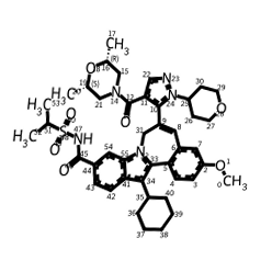 COc1ccc2c(c1)C=C(c1c(C(=O)N3C[C@@H](C)O[C@@H](C)C3)cnn1C1CCOCC1)Cn1c-2c(C2CCCCC2)c2ccc(C(=O)NS(=O)(=O)C(C)C)cc21